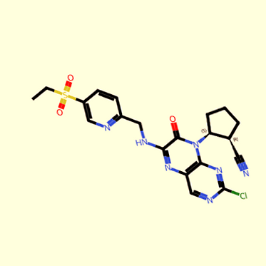 CCS(=O)(=O)c1ccc(CNc2nc3cnc(Cl)nc3n([C@H]3CCC[C@H]3C#N)c2=O)nc1